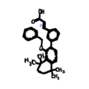 CC1(C)CCC(C)(C)c2c1ccc(-c1cccc(/C=C/C(=O)O)c1)c2OCc1ccccc1